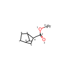 CC(C)OC(=O)C1CC2CCC1C2